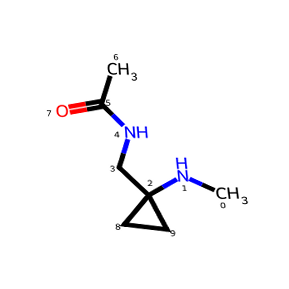 CNC1(CNC(C)=O)CC1